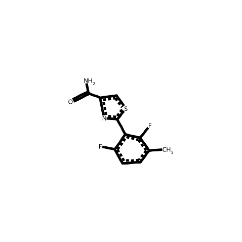 Cc1ccc(F)c(-c2nc(C(N)=O)cs2)c1F